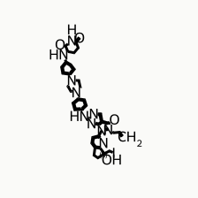 C=CCn1c(=O)c2cnc(Nc3ccc(N4CCN(c5ccc(NC6CCC(=O)NC6=O)cc5)CC4)cc3)nc2n1-c1ccc2c(n1)[C@@](O)(CI)CC2